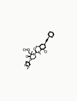 CN(C(=O)N1CCN(c2cnn(C)c2)C(=O)C1(C)CC=O)c1c(F)cc(C#Cc2ccccc2)cc1Cl